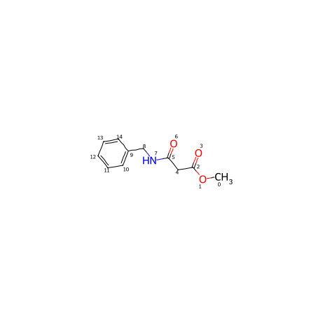 COC(=O)CC(=O)NCc1ccccc1